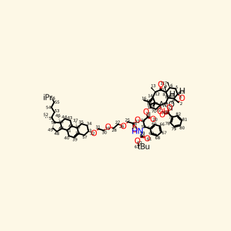 CC(=O)O[C@@]12CO[C@@H]1C[C@H](C)[C@@]1(C)C(=O)[C@H](C)C3=C(C)[C@@H](OC(=O)[C@H](OC(=O)COCCOCCO[C@H]4CC[C@@]5(C)C(=CCC6C5CC[C@@]5(C)C6CC[C@@H]5[C@H](C)CCCC(C)C)C4)[C@@H](NC(=O)OC(C)(C)C)c4ccccc4)C[C@@](O)([C@@H](OC(=O)c4ccccc4)[C@H]21)C3(C)C